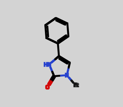 CCn1cc(-c2ccccc2)[nH]c1=O